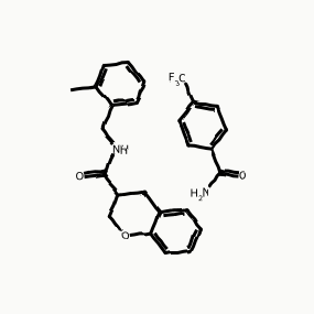 Cc1ccccc1CNC(=O)C1COc2ccccc2C1.NC(=O)c1ccc(C(F)(F)F)cc1